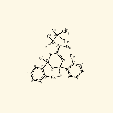 [O-][S+](C1=CC(Br)(c2ccccc2F)[CH]C(Br)(c2ccccc2F)C1)C(F)(F)C(F)(F)C(F)(F)F